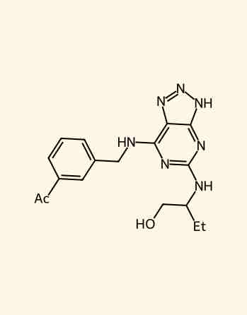 CCC(CO)Nc1nc(NCc2cccc(C(C)=O)c2)c2nn[nH]c2n1